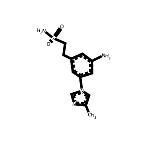 Cc1cn(-c2cc(N)cc(CCS(N)(=O)=O)c2)cn1